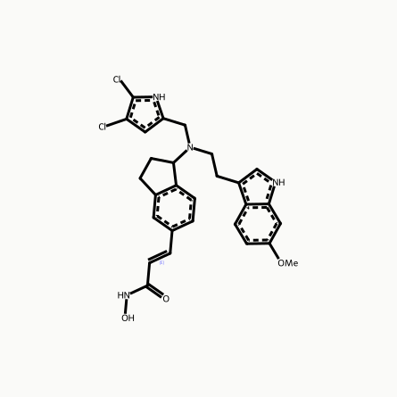 COc1ccc2c(CCN(Cc3cc(Cl)c(Cl)[nH]3)C3CCc4cc(/C=C/C(=O)NO)ccc43)c[nH]c2c1